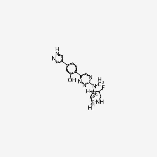 CN(c1ncc(-c2ccc(-c3cn[nH]c3)cc2O)nn1)[C@H]1C[C@@H]2COCC1(F)CN2